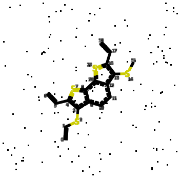 C=CSc1c(C=C)sc2c1ccc1c(SC)c(C=C)sc12